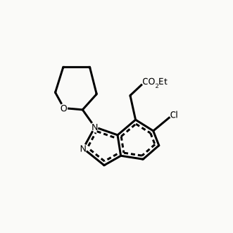 CCOC(=O)Cc1c(Cl)ccc2cnn(C3CCCCO3)c12